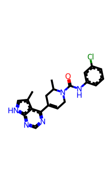 Cc1c[nH]c2ncnc(C3=CCN(C(=O)Nc4cccc(Cl)c4)C(C)C3)c12